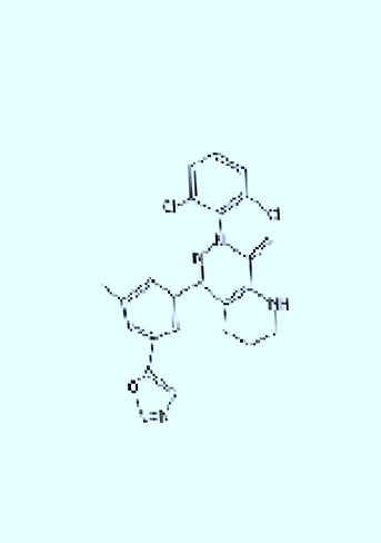 C=C1C2=C(CCCN2)C(c2cc(C)cc(-c3cnco3)c2)=NN1c1c(Cl)cccc1Cl